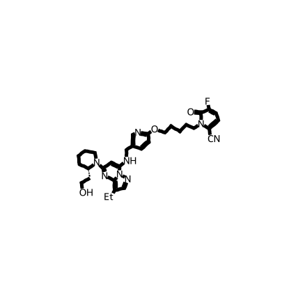 CCc1cnn2c(NCc3ccc(OCCCCCn4c(C#N)ccc(F)c4=O)nc3)cc(N3CCCC[C@H]3CCO)nc12